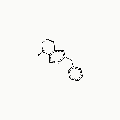 C[C@H]1CCCc2cc(Sc3ccccc3)ccc21